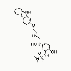 CN(C)S(=O)(=O)Nc1cc([C@H](O)CNCCOc2ccc3c(c2)[nH]c2ccccc23)ccc1O